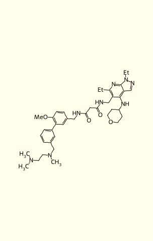 CCc1nc2c(cnn2CC)c(NC2CCOCC2)c1CNC(=O)CC(=O)NCc1ccc(OC)c(-c2cccc(CN(C)CCN(C)C)c2)c1